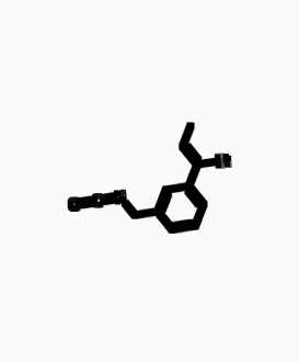 CC=C(CC)c1cccc(CN=C=O)c1